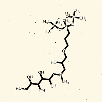 CN(CC(O)COCCC[Si](C)(O[Si](C)(C)C)O[Si](C)(C)C)CC(O)C(O)C(O)C(O)CO